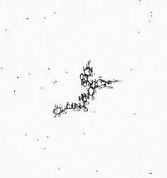 Cc1cc(OC(C)C)c(C(=O)Nc2cc(-n3cc(C(=O)NCCCN4CCOCC4)nn3)ccc2N2CCN(C)CC2)cn1